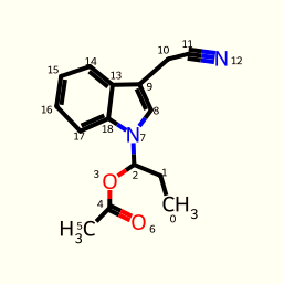 CCC(OC(C)=O)n1cc(CC#N)c2ccccc21